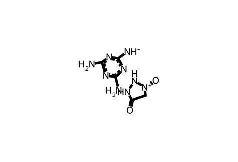 O=C1C[N+](=O)NN1.[NH-]c1nc(N)nc(N)n1